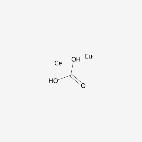 O=C(O)O.[Ce].[Eu]